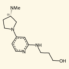 CN[C@H]1CCN(c2ccnc(NCCCO)c2)C1